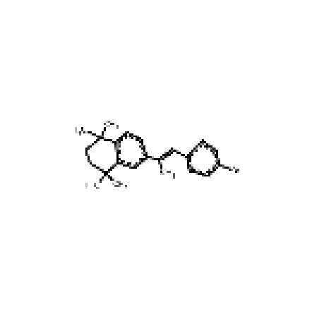 CC(=Cc1ccc(Br)cc1)c1ccc2c(c1)C(C)(C)CCC2(C)C